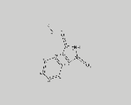 CC.O=C1C=CC(=O)N1.c1ccccc1